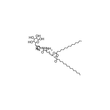 CCCCCCCCCCCCCCC(=O)OC[C@H](CSC[C@@H](N)C(=O)Nc1cn(CC2OC(O)C(O)C(O)C2O)nn1)OC(=O)CCCCCCCCCCCCCC